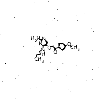 CCCCNc1nc(N)ncc1OCC(=O)c1ccc(OC)cc1